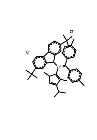 CC1=[C]([Zr+2](=[C](c2ccc(C)cc2)c2ccc(C)cc2)[CH]2c3cc(C(C)(C)C)ccc3-c3ccc(C(C)(C)C)cc32)C(C)C=C1C(C)C.[Cl-].[Cl-]